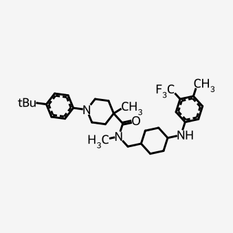 Cc1ccc(NC2CCC(CN(C)C(=O)C3(C)CCN(c4ccc(C(C)(C)C)cc4)CC3)CC2)cc1C(F)(F)F